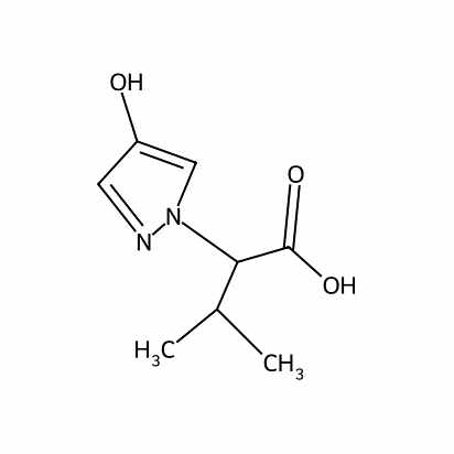 CC(C)C(C(=O)O)n1cc(O)cn1